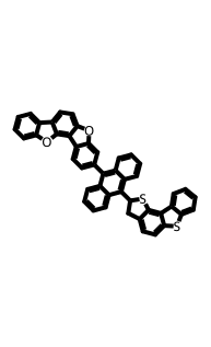 c1ccc2c(c1)oc1c2ccc2oc3cc(-c4c5ccccc5c(C5Cc6ccc7sc8ccccc8c7c6S5)c5ccccc45)ccc3c21